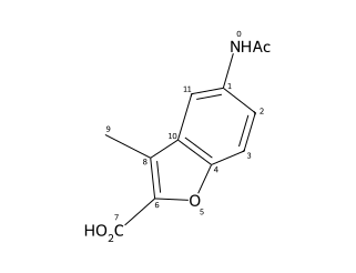 CC(=O)Nc1ccc2oc(C(=O)O)c(C)c2c1